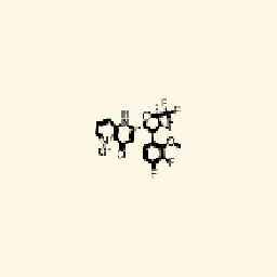 COc1c([C@H]2[C@H](c3cc(=O)c4c(ccc[n+]4[O-])[nH]3)O[C@@](C)(C(F)(F)F)[C@H]2C)ccc(F)c1F